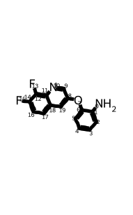 Nc1ccccc1Oc1cnc2c(F)c(F)ccc2c1